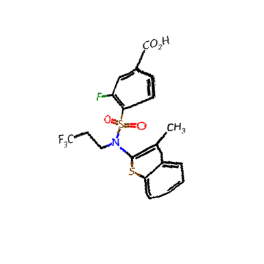 Cc1c(N(CCC(F)(F)F)S(=O)(=O)c2ccc(C(=O)O)cc2F)sc2ccccc12